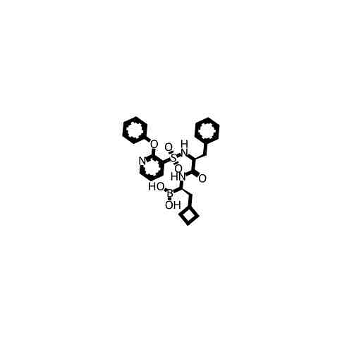 O=C(N[C@@H](CC1CCC1)B(O)O)[C@H](Cc1ccccc1)NS(=O)(=O)c1cccnc1Oc1ccccc1